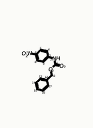 O=C(Nc1ccc([N+](=O)[O-])cc1)OCc1ccccc1